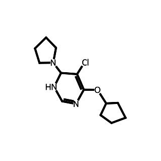 ClC1=C(OC2CCCC2)N=CNC1N1CCCC1